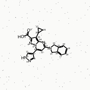 O=C(O)c1nn2c(-c3cn[nH]c3)cc(N3Cc4ccccc4C3)nc2c1C1CC1